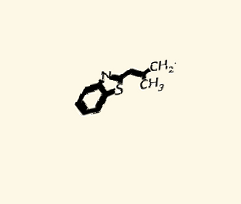 [CH2]C(C)=Cc1nc2ccccc2s1